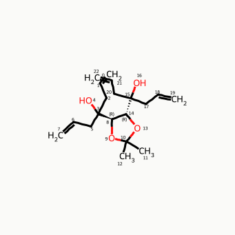 C=CCC(O)(CC=C)[C@@H]1OC(C)(C)O[C@H]1C(O)(CC=C)CC=C